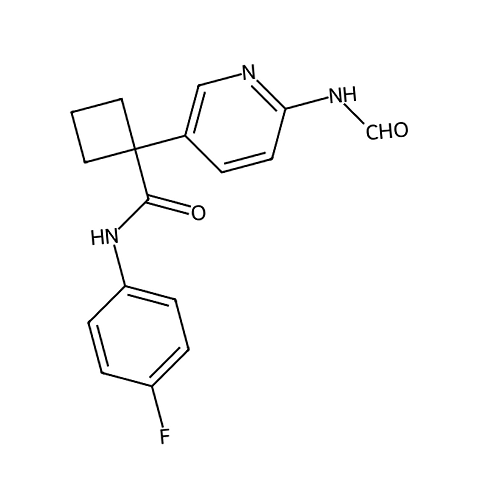 O=CNc1ccc(C2(C(=O)Nc3ccc(F)cc3)CCC2)cn1